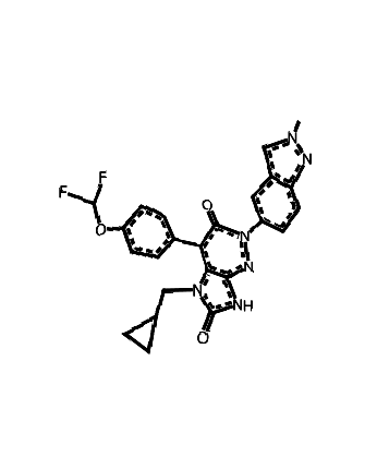 Cn1cc2cc(-n3nc4[nH]c(=O)n(CC5CC5)c4c(-c4ccc(OC(F)F)cc4)c3=O)ccc2n1